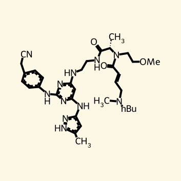 CCCCN(C)C/C=C/C(=O)N(CCOC)[C@@H](C)C(=O)NCCNc1cc(Nc2cc(C)[nH]n2)nc(Nc2ccc(CC#N)cc2)n1